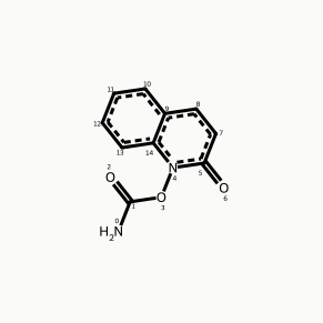 NC(=O)On1c(=O)ccc2ccccc21